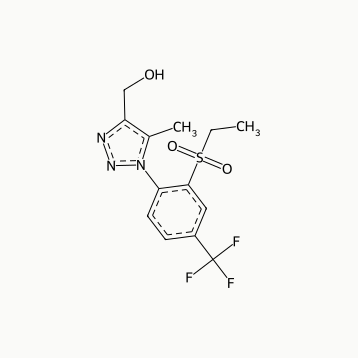 CCS(=O)(=O)c1cc(C(F)(F)F)ccc1-n1nnc(CO)c1C